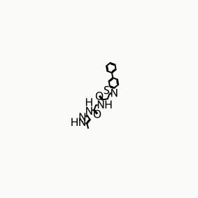 Cc1cc(NC(=O)CNC(=O)Cc2nc3ccc(-c4ccccc4)cc3s2)n[nH]1